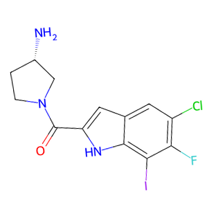 N[C@H]1CCN(C(=O)c2cc3cc(Cl)c(F)c(I)c3[nH]2)C1